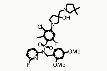 COc1ccc(CN(c2cccc(F)n2)S(=O)(=O)c2c(F)cc(N3CCC(O)(CN4CCC(C)(C)C4)C3)c(Cl)c2F)c(OC)c1